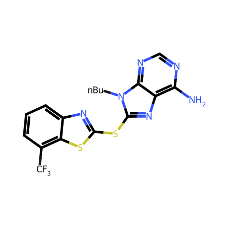 CCCCn1c(Sc2nc3cccc(C(F)(F)F)c3s2)nc2c(N)ncnc21